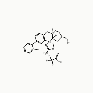 CC(C)O[C@@H]1CC[C@@H]2Oc3ccc(-c4cccnc4F)cc3[C@@]3(COC(N)=N3)[C@H]2C1.O=C(O)C(F)(F)F